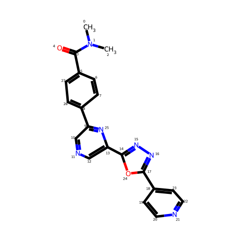 CN(C)C(=O)c1ccc(-c2cncc(-c3nnc(-c4ccncc4)o3)n2)cc1